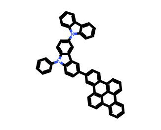 c1ccc(-n2c3ccc(-c4ccc5c(c4)c4cccc6c7ccccc7c7cccc5c7c64)cc3c3cc(-n4c5ccccc5c5ccccc54)ccc32)cc1